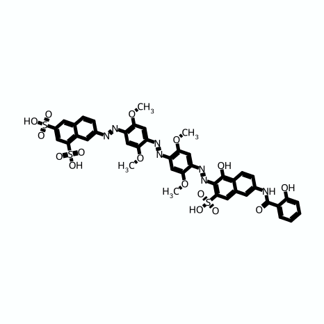 COc1cc(N=Nc2cc(OC)c(N=Nc3c(S(=O)(=O)O)cc4cc(NC(=O)c5ccccc5O)ccc4c3O)cc2OC)c(OC)cc1N=Nc1ccc2cc(S(=O)(=O)O)cc(S(=O)(=O)O)c2c1